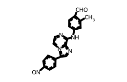 Cc1cc(Nc2nccn3c(-c4ccc(N=O)cc4)cnc23)ccc1C=O